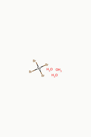 O.O.O.[Br][Sn]([Br])([Br])[Br]